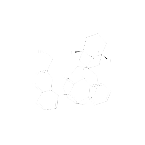 O=C(CO)Cn1c(-c2nc3ccccc3n([C@H]3C[C@H]4CCC[C@@H](C3)N4C3CCCCCCCCC3)c2=O)cccc1=O